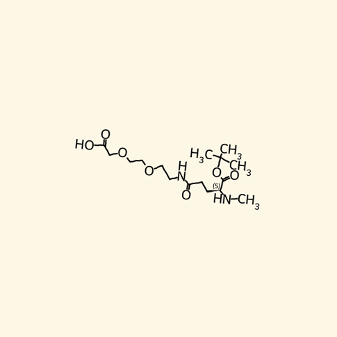 CN[C@@H](CCC(=O)NCCOCCOCC(=O)O)C(=O)OC(C)(C)C